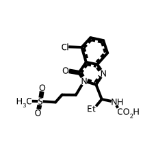 CCC(NC(=O)O)c1nc2cccc(Cl)c2c(=O)n1CCCS(C)(=O)=O